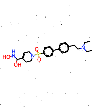 CCN(CC)CCc1ccc(-c2ccc(S(=O)(=O)N3CC=C(C(O)NO)CC3)cc2)cc1